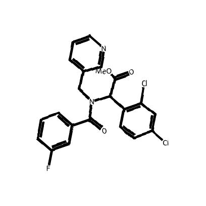 COC(=O)C(c1ccc(Cl)cc1Cl)N(Cc1cccnc1)C(=O)c1cccc(F)c1